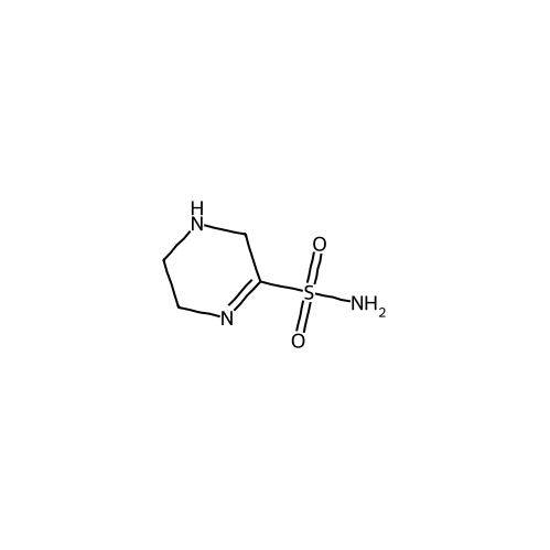 NS(=O)(=O)C1=NCCNC1